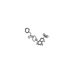 O=C(Cc1ccccc1)N1CCN(c2ncnc3sc([N+](=O)[O-])cc23)CC1